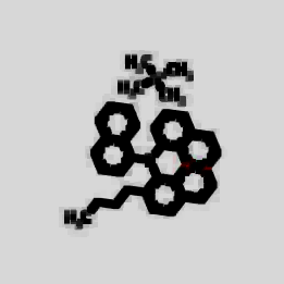 CCCCc1ccc2ccccc2c1B(c1cccc2ccccc12)c1cccc2ccccc12.C[N+](C)(C)C